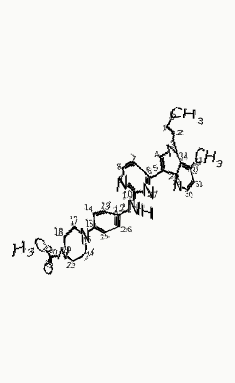 CCCn1cc(-c2ccnc(Nc3ccc(N4CCN(C(C)=O)CC4)cc3)n2)c2nccc(C)c21